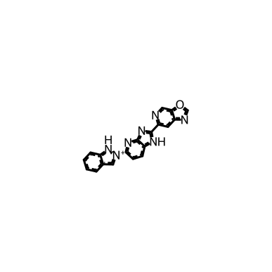 c1ccc2[nH][n+](-c3ccc4[nH]c(-c5cc6ncoc6cn5)nc4n3)cc2c1